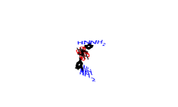 N=C(N)c1cccc(CO[C@H]2CO[C@H]3[C@@H]2OC[C@H]3Oc2cccc(C(=N)N)c2)c1